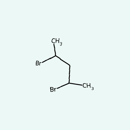 CC(Br)CC(C)Br